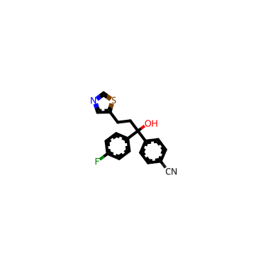 N#Cc1ccc(C(O)(CCc2cncs2)c2ccc(F)cc2)cc1